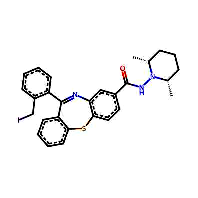 C[C@@H]1CCC[C@H](C)N1NC(=O)c1ccc2c(c1)N=C(c1ccccc1CI)c1ccccc1S2